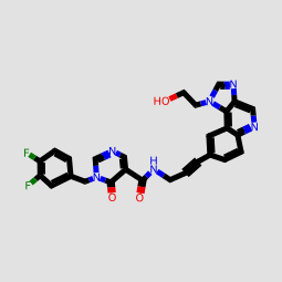 O=C(NCC#Cc1ccc2ncc3ncn(CCO)c3c2c1)c1cncn(Cc2ccc(F)c(F)c2)c1=O